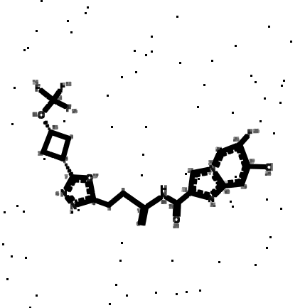 C=C(CCc1nnc([C@H]2C[C@@H](OC(F)(F)F)C2)o1)NC(=O)c1cn2cc(F)c(Cl)cc2n1